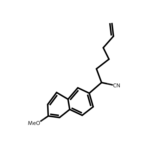 C=CCCCC(C#N)c1ccc2cc(OC)ccc2c1